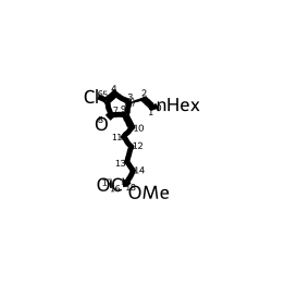 CCCCCCC=C[C@@H]1C=C(Cl)C(=O)C1=CCCCCC(=C=O)OC